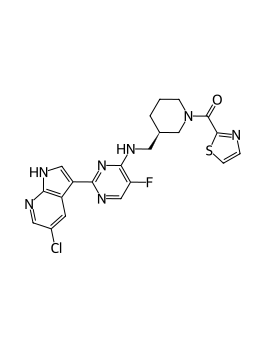 O=C(c1nccs1)N1CCC[C@H](CNc2nc(-c3c[nH]c4ncc(Cl)cc34)ncc2F)C1